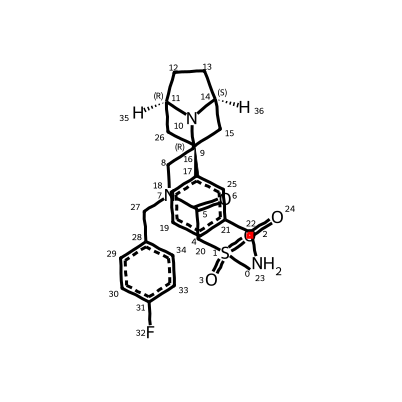 CS(=O)(=O)CC(=O)N(CCN1[C@@H]2CC[C@H]1C[C@@H](c1cccc(C(N)=O)c1)C2)Cc1ccc(F)cc1